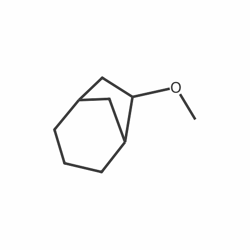 COC1CC2CCCC1C2